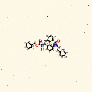 Cc1cccc(CNC(=O)OCc2ccccc2)c1-c1c(C)cccc1C(=O)NCCc1ccccn1